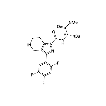 CNC(=O)[C@@H](NC(=O)n1nc(-c2cc(F)c(F)cc2F)c2c1CCNC2)C(C)(C)C